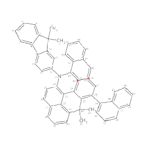 CC1(C)c2ccccc2-c2ccc(N(c3ccc4cccc5c4c3-c3cccc(-c4cccc6ccccc46)c3C5(C)C)c3cccc4ccccc34)cc21